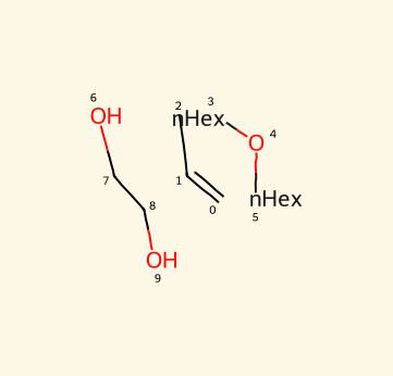 C=CC.CCCCCCOCCCCCC.OCCO